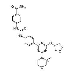 C[C@H]1COCCN1c1nc(OC2CCOC2)nc(-c2ccc(NC(=O)Nc3ccc(C(N)=O)cc3)cc2)n1